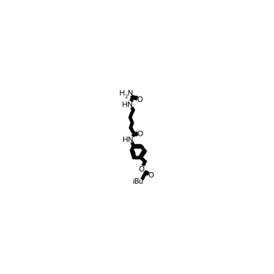 CCC(C)C(=O)OCc1ccc(NC(=O)CCCCNC(N)=O)cc1